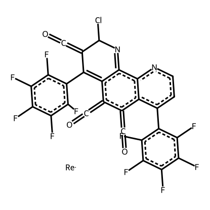 O=C=C1C(c2c(F)c(F)c(F)c(F)c2F)=c2c(=C=O)c(=C=O)c3c(-c4c(F)c(F)c(F)c(F)c4F)ccnc3c2=NC1Cl.[Re]